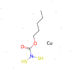 CCCCCOC(=O)N(S)S.[Cu]